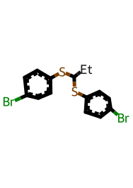 CCC(Sc1ccc(Br)cc1)Sc1ccc(Br)cc1